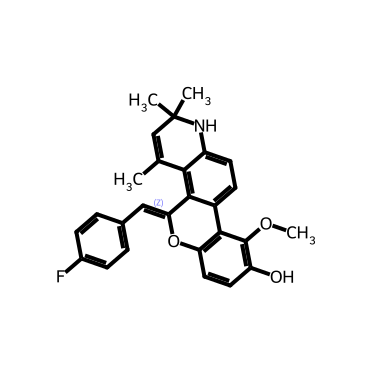 COc1c(O)ccc2c1-c1ccc3c(c1/C(=C/c1ccc(F)cc1)O2)C(C)=CC(C)(C)N3